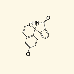 O=C1NC2(OC=Cc3cc(Cl)ccc32)c2ccccc21